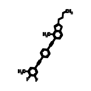 CCCCC1=Cc2c(ccc(C#Cc3ccc(C#Cc4cc(C)c(F)c(F)c4)cc3)c2C)C1